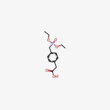 CCOP(=O)(Cc1ccc(CC(=O)O)cc1)OCC